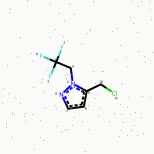 FC(F)(F)Cn1nccc1CCl